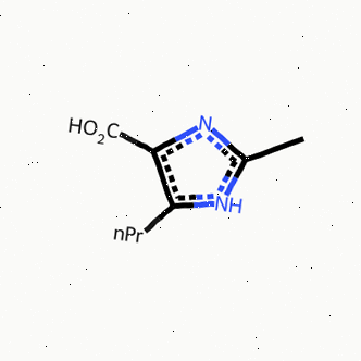 CCCc1[nH]c(C)nc1C(=O)O